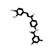 O=C(C=Cc1ccc(O)c(O)c1)c1ccc(NC(=O)c2cc(F)cc(F)c2)cc1